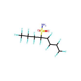 NS(=O)(=O)C(F)(C(F)C(F)C(F)C(F)F)C(F)(F)C(F)(F)C(F)(F)F